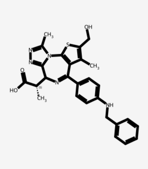 Cc1c(CO)sc2c1C(c1ccc(NCc3ccccc3)cc1)=NC([C@H](C)C(=O)O)c1nnc(C)n1-2